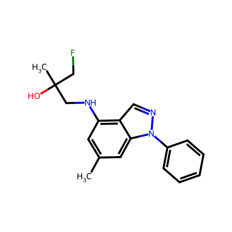 Cc1cc(NCC(C)(O)CF)c2cnn(-c3ccccc3)c2c1